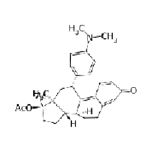 CC(=O)O[C@]1(C(C)=O)CC[C@H]2[C@@H]3CCC4=CC(=O)C=CC4=C3[C@@H](c3ccc(N(C)C)cc3)C[C@@]21C